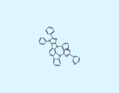 c1ccc(-c2nc3c(c4ccc5c6ccccc6n(-c6cccc(-c7cccnc7)n6)c5c4n3-c3ccccc3)n2-c2ccccc2)cc1